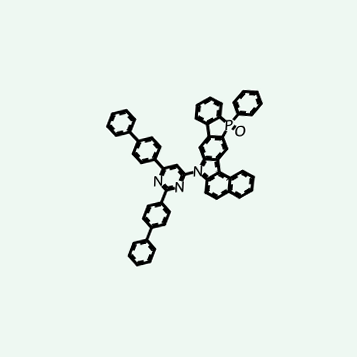 O=P1(c2ccccc2)c2ccccc2-c2cc3c(cc21)c1c2ccccc2ccc1n3-c1cc(-c2ccc(-c3ccccc3)cc2)nc(-c2ccc(-c3ccccc3)cc2)n1